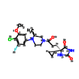 COc1cc(N2CCN(C(=O)CC[C@@]3(C4CC4)NC(=O)NC3=O)C[C@@H]2C)cc(F)c1Cl